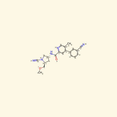 COC[C@@H]1C[C@@H](NC(=O)c2cc(-c3cccc(C#N)c3)c(C)cn2)CN1C#N